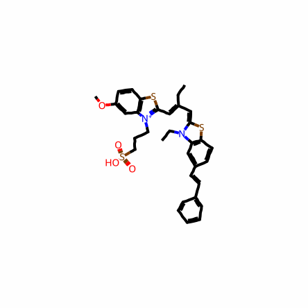 CCC(=C\c1sc2ccc(OC)cc2[n+]1CCCS(=O)(=O)O)/C=C1/Sc2ccc(/C=C/c3ccccc3)cc2N1CC